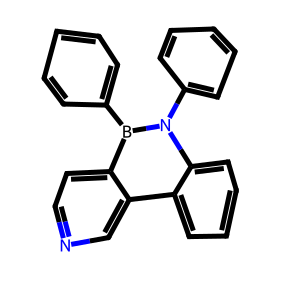 c1ccc(B2c3ccncc3-c3ccccc3N2c2ccccc2)cc1